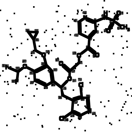 CS(=O)(=O)Nc1cc(C(=O)OCC(=O)O[C@@H](Cc2c(Cl)cncc2Cl)c2ccc(OC(F)F)c(OCC3CC3)c2)ccn1